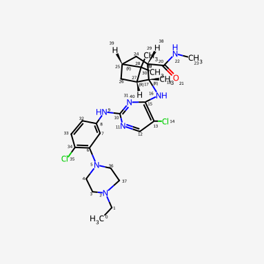 CCN1CCN(c2cc(Nc3ncc(Cl)c(N[C@@]4(C)[C@@H](C(=O)NC)C[C@H]5C[C@@H]4C5(C)C)n3)ccc2Cl)CC1